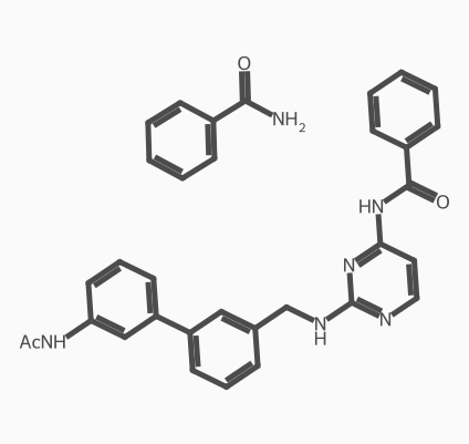 CC(=O)Nc1cccc(-c2cccc(CNc3nccc(NC(=O)c4ccccc4)n3)c2)c1.NC(=O)c1ccccc1